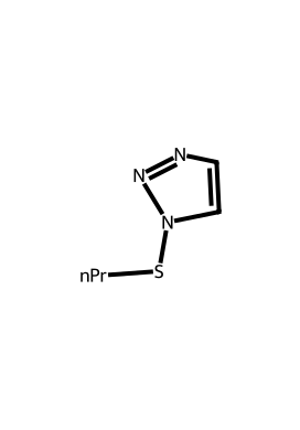 CCCSn1ccnn1